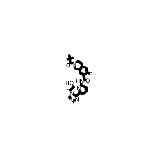 C[C@H](CO)n1cnnc1-c1cccc(NC(=O)c2cc3c(cc2F)CCN(C(=O)C(C)(C)C)C3)n1